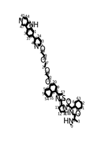 CNC(C)C(=O)N[C@H](C(=O)N1CCCC1c1nc(-c2ccc(OCCOCCOCCOc3ccc(-c4ccc5c(c4)[nH]c4ccncc45)cn3)c3ccccc23)cs1)C1CCCCC1